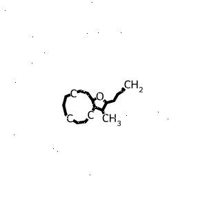 C=CCCC1OC2CCCCCCCCCCC2C1C